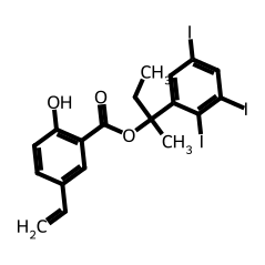 C=Cc1ccc(O)c(C(=O)OC(C)(CC)c2cc(I)cc(I)c2I)c1